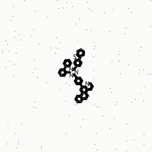 c1ccc(-c2ccccc2-c2nc(-c3ccc(-c4cc5c6ccccc6ccc5c5cccnc45)cc3)nc(-c3ccc4c(c3)sc3ccccc34)n2)cc1